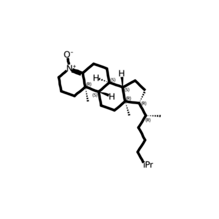 CC(C)CCC[C@@H](C)[C@H]1CC[C@H]2[C@@H]3CCC4=[N+]([O-])CCC[C@]4(C)[C@H]3CC[C@]12C